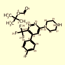 CC(C)(C)OC=O.Fc1ccc(-c2cc(N3CCNCC3)nnc2C(F)(F)F)cc1